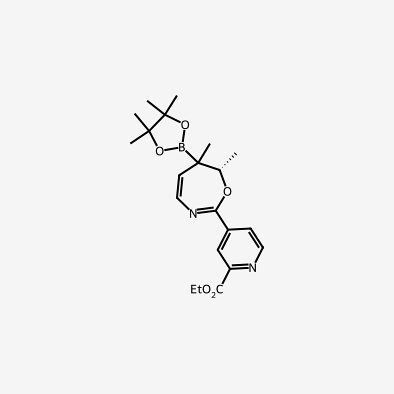 CCOC(=O)c1cc(C2=NC=CC(C)(B3OC(C)(C)C(C)(C)O3)[C@H](C)O2)ccn1